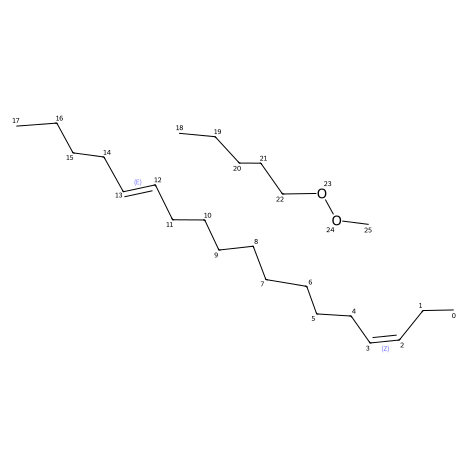 CC/C=C\CCCCCCCC/C=C/CCCC.CCCCCOOC